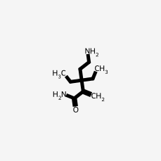 C=C(C(N)=O)C(CC)(CC)CCN